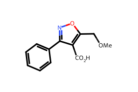 COCc1onc(-c2ccccc2)c1C(=O)O